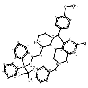 COc1ccc(C(c2nc(Cl)nc3c2CCN(Cc2ccccc2)C3)N2CCNC(CCO[Si](c3ccccc3)(c3ccccc3)C(C)(C)C)C2)cc1